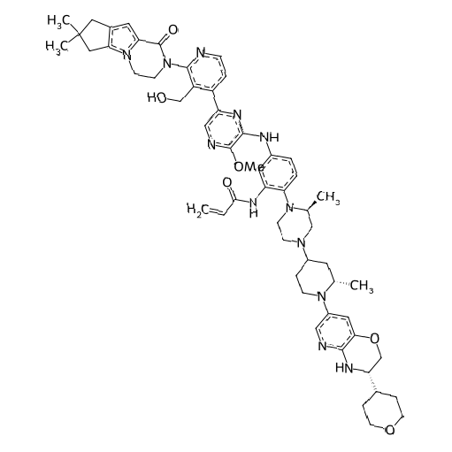 C=CC(=O)Nc1cc(Nc2nc(-c3ccnc(N4CCn5c(cc6c5CC(C)(C)C6)C4=O)c3CO)cnc2OC)ccc1N1CCN(C2CCN(c3cnc4c(c3)OC[C@H](C3CCOCC3)N4)[C@@H](C)C2)C[C@@H]1C